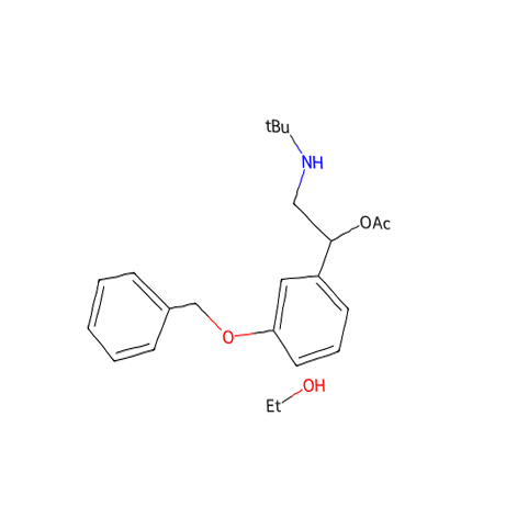 CC(=O)OC(CNC(C)(C)C)c1cccc(OCc2ccccc2)c1.CCO